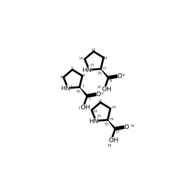 O=C(O)[C@@H]1CCCN1.O=C(O)[C@@H]1CCCN1.O=C(O)[C@@H]1CCCN1